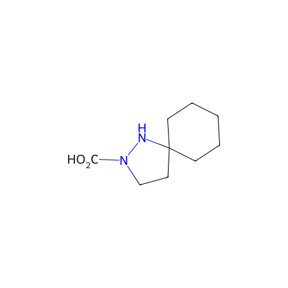 O=C(O)N1CCC2(CCCCC2)N1